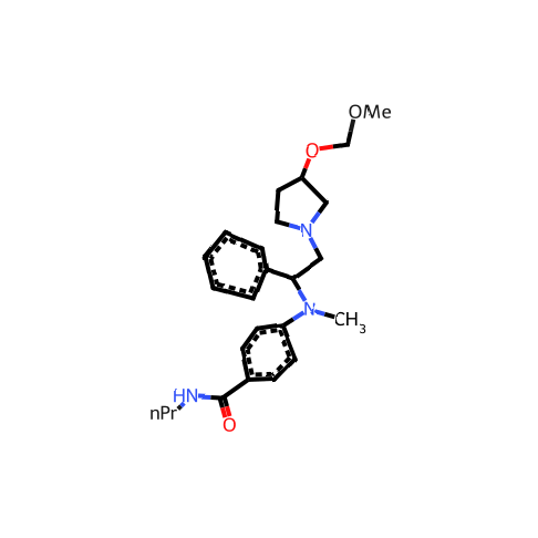 CCCNC(=O)c1ccc(N(C)C(CN2CCC(OCOC)C2)c2ccccc2)cc1